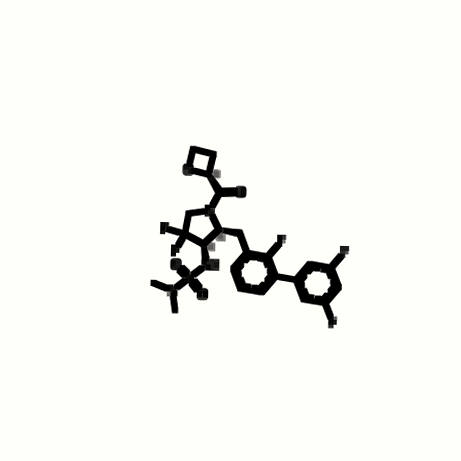 CN(C)S(=O)(=O)N[C@@H]1[C@H](Cc2cccc(-c3cc(F)cc(F)c3)c2F)N(C(=O)[C@@H]2CCO2)CC1(F)F